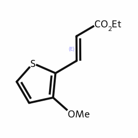 CCOC(=O)/C=C/c1sccc1OC